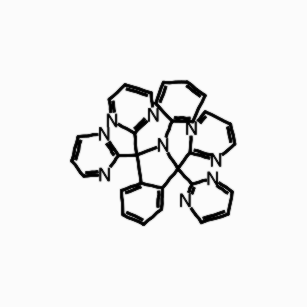 c1ccc(N2C(c3ncccn3)(c3ncccn3)c3ccccc3C2(c2ncccn2)c2ncccn2)cc1